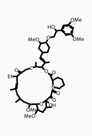 CCC1/C=C(\C)CC(C)CC(OC)C2OC(O)(C(=O)C(=O)N3CCCCC3C(=O)OC(C(C)=CC3CCC(OCC(O)c4cc(OC)cc(OC)c4)C(OC)C3)C(C)CCC1=O)C(C)CC2OC